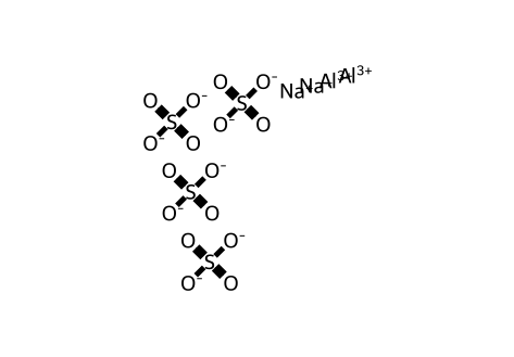 O=S(=O)([O-])[O-].O=S(=O)([O-])[O-].O=S(=O)([O-])[O-].O=S(=O)([O-])[O-].[Al+3].[Al+3].[Na+].[Na+]